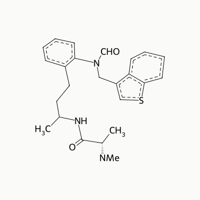 CN[C@@H](C)C(=O)NC(C)CCc1ccccc1N(C=O)Cc1csc2ccccc12